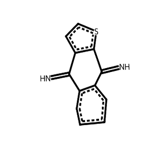 N=C1c2ccccc2C(=N)c2sccc21